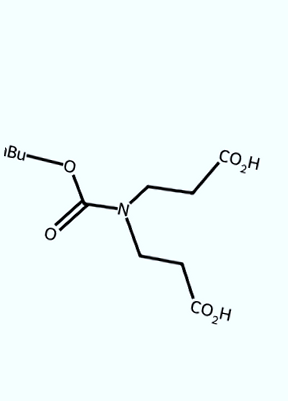 CCCCOC(=O)N(CCC(=O)O)CCC(=O)O